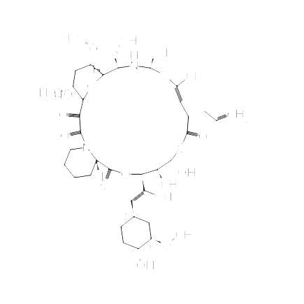 C=CC[C@H]1/C=C(\C)C[C@H](C)N[C@H](OC)[C@H]2O[C@@](O)(C(=O)C(=O)N3CCCC[C@H]3C(=O)O[C@H](/C(C)=C/[C@@H]3CC[C@@H](O)[C@H](OC)C3)[C@H](C)[C@@H](O)CC1=O)[C@H](C)C[C@@H]2OC